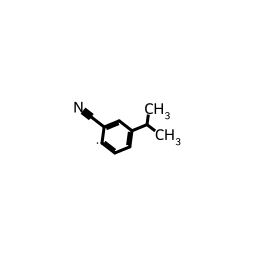 CC(C)c1cc[c]c(C#N)c1